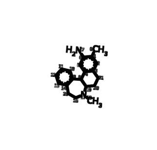 Cc1cc2c(cc1N)C1c3ccccc3CCN(C)C1CC2